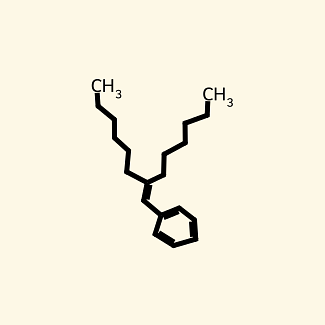 CCCCCCC(=Cc1ccccc1)CCCCCC